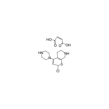 ClC1C=C(N2CCNCC2)C2=C(CNCC2)S1.O=C(O)/C=C\C(=O)O